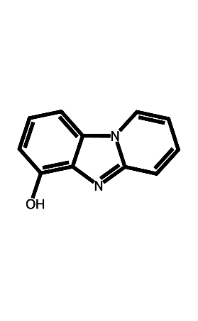 Oc1cccc2c1nc1ccccn12